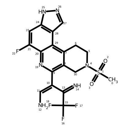 CS(=O)(=O)N1CCc2c(c(/C(=C/N)C(=N)C(F)(F)F)nc3c(F)cc4[nH]ncc4c23)C1